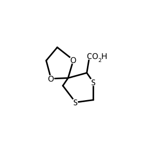 O=C(O)C1SCSCC12OCCO2